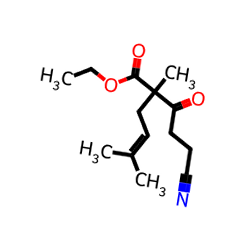 CCOC(=O)C(C)(CC=C(C)C)C(=O)CCC#N